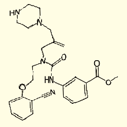 C=C(CN1CCNCC1)CN(CCOc1ccccc1C#N)C(=O)Nc1cccc(C(=O)OC)c1